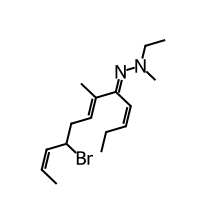 C/C=C\C(Br)C/C=C(C)/C(/C=C\CC)=N/N(C)CC